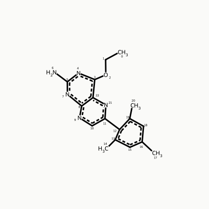 CCOc1nc(N)nc2ncc(-c3c(C)cc(C)cc3C)nc12